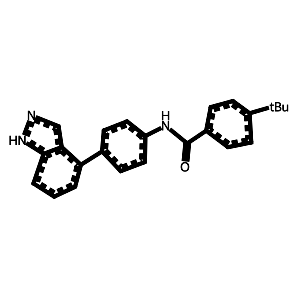 CC(C)(C)c1ccc(C(=O)Nc2ccc(-c3cccc4[nH]ncc34)cc2)cc1